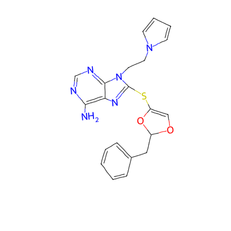 Nc1ncnc2c1nc(SC1=COC(Cc3ccccc3)O1)n2CCn1cccc1